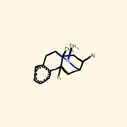 CCC12CC3C(C(C)=O)CC1(C)C(Cc1ccccc12)N3C